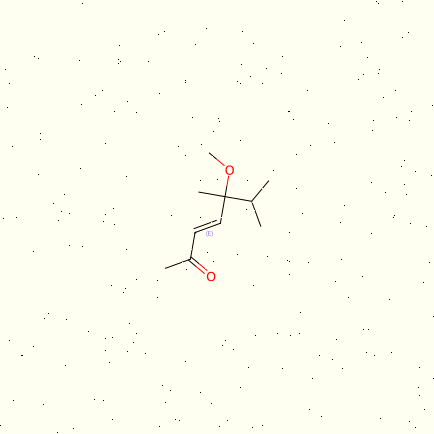 COC(C)(/C=C/C(C)=O)C(C)C